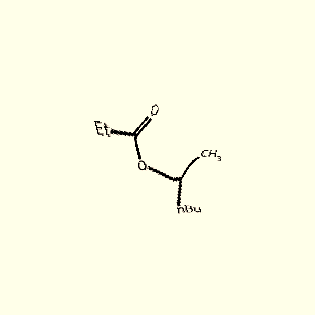 CCCCC(C)OC(=O)CC